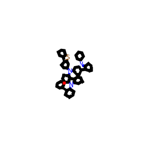 c1ccc(-c2ccccc2-n2c3ccccc3c3c(N(c4ccc5c(c4)sc4ccccc45)c4ccc5c6ccccc6n(-c6ccccc6)c5c4)cccc32)cc1